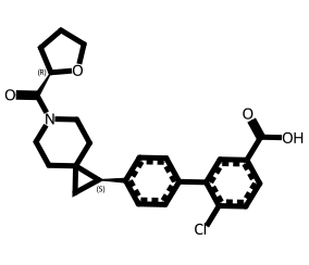 O=C(O)c1ccc(Cl)c(-c2ccc([C@H]3CC34CCN(C(=O)[C@H]3CCCO3)CC4)cc2)c1